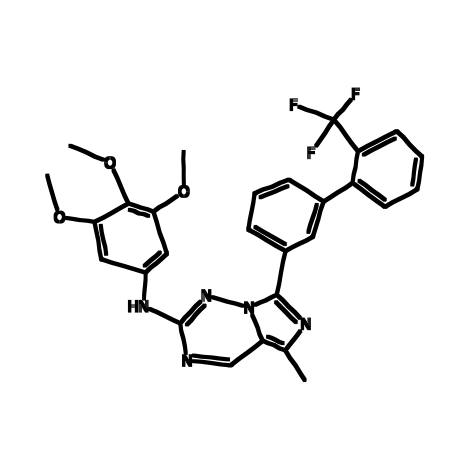 COc1cc(Nc2ncc3c(C)nc(-c4cccc(-c5ccccc5C(F)(F)F)c4)n3n2)cc(OC)c1OC